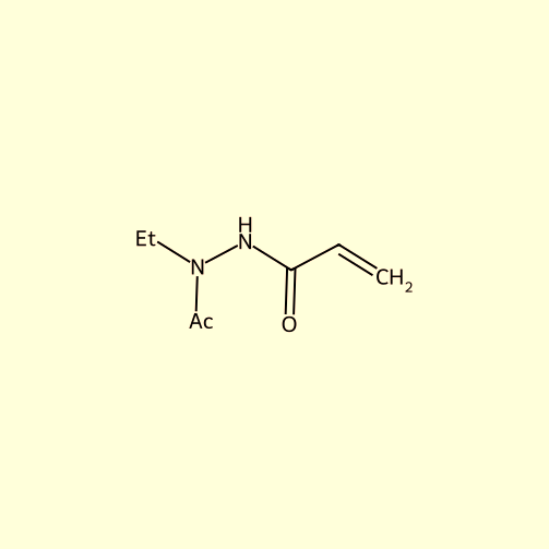 C=CC(=O)NN(CC)C(C)=O